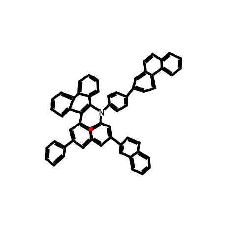 c1ccc(-c2cccc(-c3c(N(c4ccc(-c5ccc6c(ccc7ccccc76)c5)cc4)c4cccc(-c5ccc6ccccc6c5)c4)c4ccccc4c4ccccc34)c2)cc1